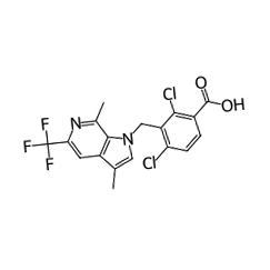 Cc1cn(Cc2c(Cl)ccc(C(=O)O)c2Cl)c2c(C)nc(C(F)(F)F)cc12